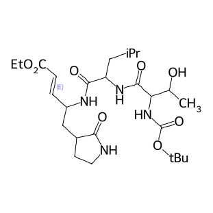 CCOC(=O)/C=C/C(CC1CCNC1=O)NC(=O)C(CC(C)C)NC(=O)C(NC(=O)OC(C)(C)C)C(C)O